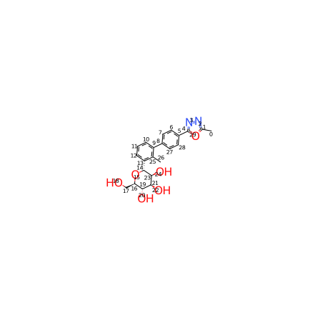 Cc1nnc(-c2ccc(-c3cccc([C@H]4O[C@H](CO)[C@@H](O)[C@H](O)[C@@H]4O)c3C)cc2)o1